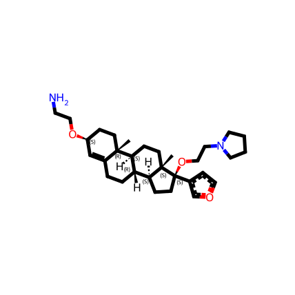 C[C@]12CC[C@H](OCCN)C=C1CC[C@@H]1[C@@H]2CC[C@@]2(C)[C@H]1CC[C@@]2(OCCN1CCCC1)c1ccoc1